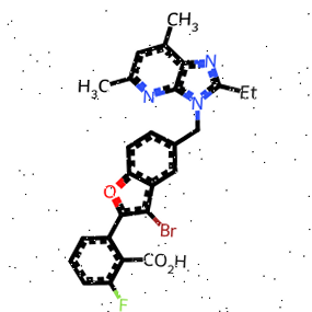 CCc1nc2c(C)cc(C)nc2n1Cc1ccc2oc(-c3cccc(F)c3C(=O)O)c(Br)c2c1